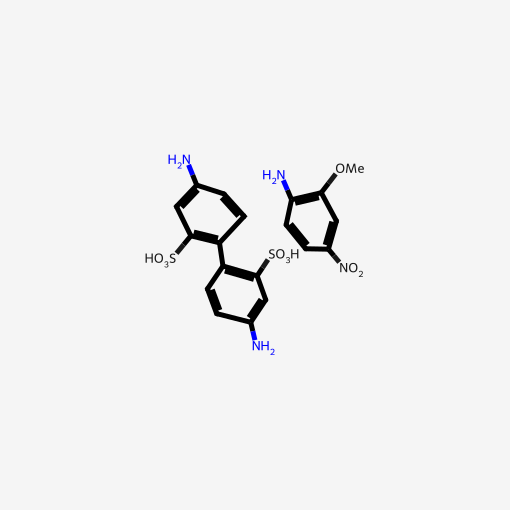 COc1cc([N+](=O)[O-])ccc1N.Nc1ccc(-c2ccc(N)cc2S(=O)(=O)O)c(S(=O)(=O)O)c1